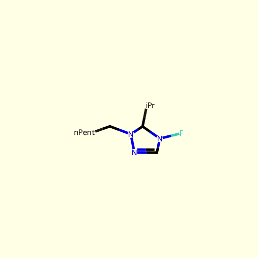 CCCCCCN1N=CN(F)C1C(C)C